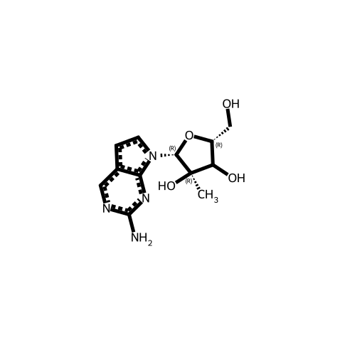 C[C@@]1(O)C(O)[C@@H](CO)O[C@H]1n1ccc2cnc(N)nc21